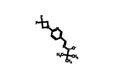 CC(C)(C)[S@@+]([O-])/N=C/c1ccc(N2CC(F)(F)C2)nc1